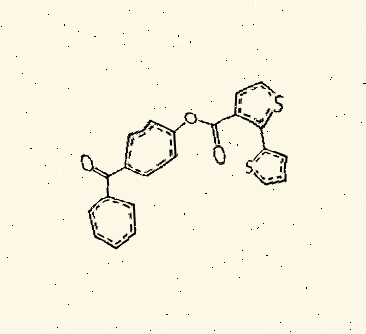 O=C(c1ccccc1)c1ccc(OC(=O)c2ccsc2-c2cccs2)cc1